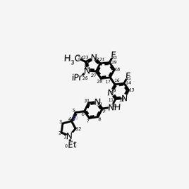 CCN1CC/C(=C/c2ccc(Nc3ncc(F)c(-c4cc(F)c5nc(C)n(C(C)C)c5c4)n3)nc2)C1